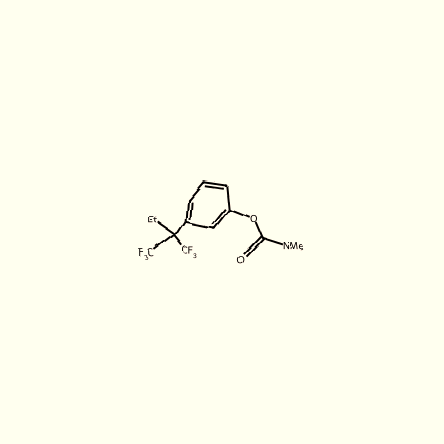 CCC(c1cccc(OC(=O)NC)c1)(C(F)(F)F)C(F)(F)F